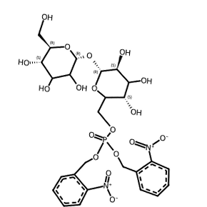 O=[N+]([O-])c1ccccc1COP(=O)(OCc1ccccc1[N+](=O)[O-])OCC1O[C@H](O[C@H]2O[C@H](CO)[C@@H](O)C(O)C2O)[C@@H](O)C(O)[C@@H]1O